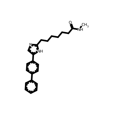 CNC(=O)CCCCCCc1ncc(-c2ccc(-c3ccccc3)cc2)[nH]1